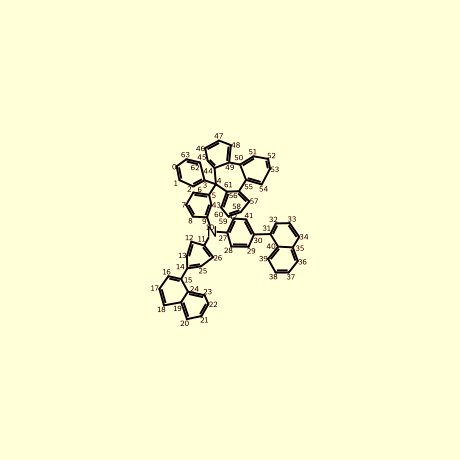 c1ccc(C2(c3cccc(N(c4ccc(-c5cccc6ccccc56)cc4)c4ccc(-c5cccc6ccccc56)cc4)c3)c3ccccc3-c3ccccc3-c3ccccc32)cc1